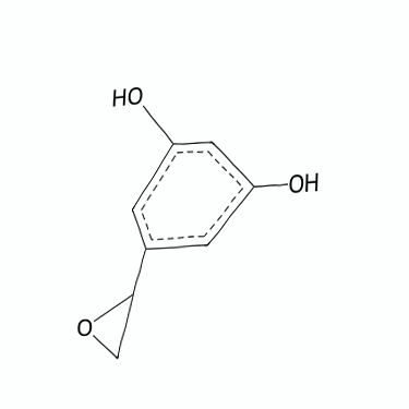 Oc1cc(O)cc(C2CO2)c1